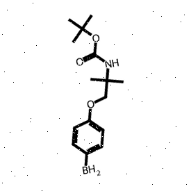 Bc1ccc(OCC(C)(C)NC(=O)OC(C)(C)C)cc1